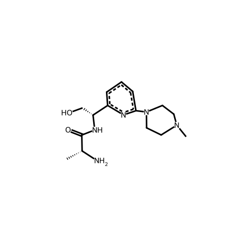 C[C@@H](N)C(=O)N[C@H](CO)c1cccc(N2CCN(C)CC2)n1